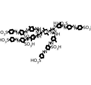 Cc1cc(Nc2nc(Nc3ccc(N=Nc4ccc(N=Nc5ccc(S(=O)(=O)O)cc5)cc4S(=O)(=O)O)c(C)c3)nc(N3CC(C)N(c4nc(Nc5ccc(N=Nc6ccc(N=Nc7ccc(S(=O)(=O)O)cc7)cc6S(=O)(=O)O)c(C)c5)nc(Nc5ccc(N=Nc6ccc(N=Nc7ccc(S(=O)(=O)O)cc7)cc6S(=O)(=O)O)c(C)c5)n4)CC3C)n2)ccc1N=Nc1ccc(N=Nc2ccc(S(=O)(=O)O)cc2)cc1S(=O)(=O)O